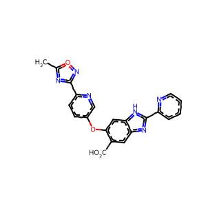 Cc1nc(-c2ccc(Oc3cc4[nH]c(-c5ccccn5)nc4cc3C(=O)O)cn2)no1